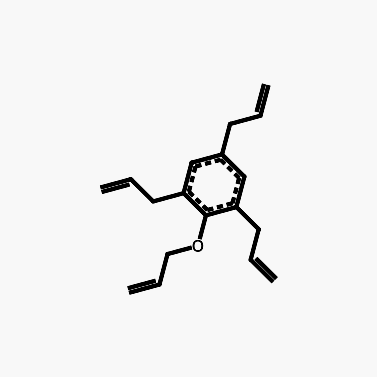 C=CCOc1c(CC=C)cc(CC=C)cc1CC=C